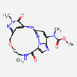 C[C@@H]1COCc2cc(c(=O)n(C)n2)Nc2cc(N(C)C(=O)OC(C)(C)C)c3ncc(n3n2)C(=O)N1